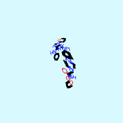 O=C(CN1CCN(c2ccc(Nc3nc(NC4CCCCC4)c4ncn(C5CCCCO5)c4n3)cc2)CC1)NOC1CCCCO1